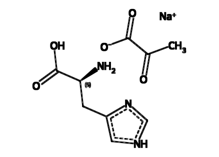 CC(=O)C(=O)[O-].N[C@@H](Cc1c[nH]cn1)C(=O)O.[Na+]